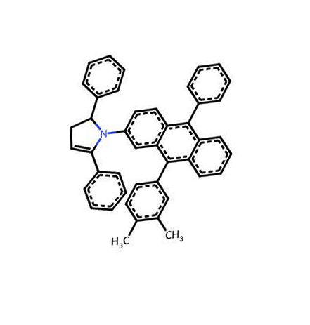 Cc1ccc(-c2c3ccccc3c(-c3ccccc3)c3ccc(N4C(c5ccccc5)=CCC4c4ccccc4)cc23)cc1C